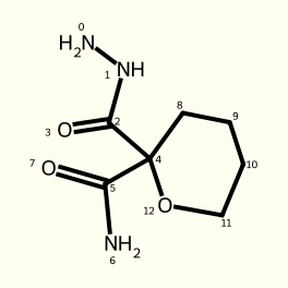 NNC(=O)C1(C(N)=O)CCCCO1